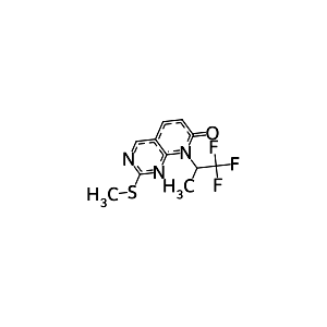 CSc1ncc2ccc(=O)n(C(C)C(F)(F)F)c2n1